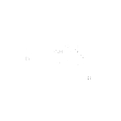 O=C(NCCc1cccc(Br)c1)c1cc(-c2ccncc2)n[nH]c1=O